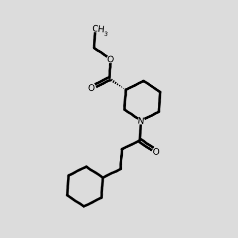 CCOC(=O)[C@@H]1CCCN(C(=O)CCC2CCCCC2)C1